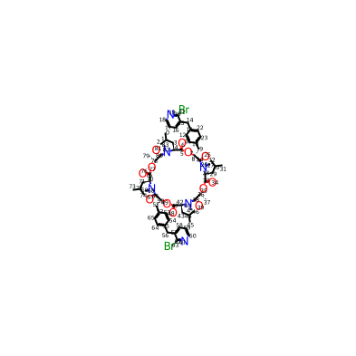 CC(C)C[C@H]1C(=O)O[C@H](Cc2ccc(Cc3cccnc3Br)cc2)C(=O)N(C)[C@@H](CC(C)C)C(=O)O[C@H](C)C(=O)N(C)[C@@H](CC(C)C)C(=O)O[C@H](Cc2ccc(Cc3cccnc3Br)cc2)C(=O)N(C)[C@@H](CC(C)C)C(=O)O[C@H](C)C(=O)N1C